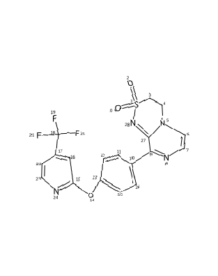 O=S1(=O)CCN2C=CN=C(c3ccc(Oc4cc(C(F)(F)F)ccn4)cc3)C2=N1